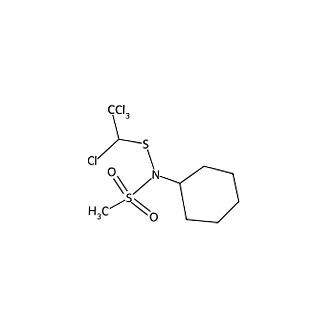 CS(=O)(=O)N(SC(Cl)C(Cl)(Cl)Cl)C1CCCCC1